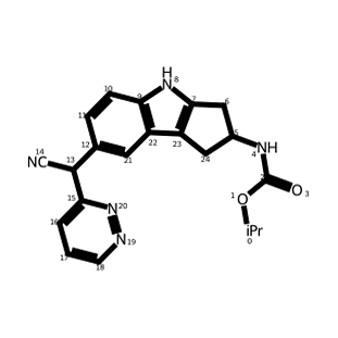 CC(C)OC(=O)NC1Cc2[nH]c3ccc(C(C#N)c4cccnn4)cc3c2C1